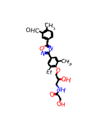 CCc1cc(-c2noc(-c3ccc(C)c(C=O)c3)n2)cc(C)c1OCC(O)CNC(=O)CO